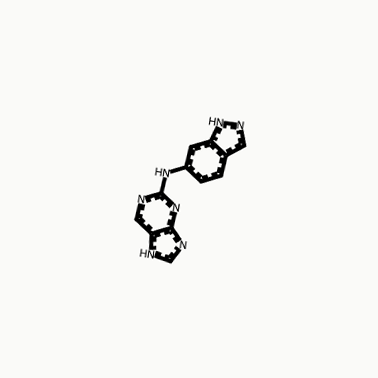 c1nc2nc(Nc3ccc4cn[nH]c4c3)ncc2[nH]1